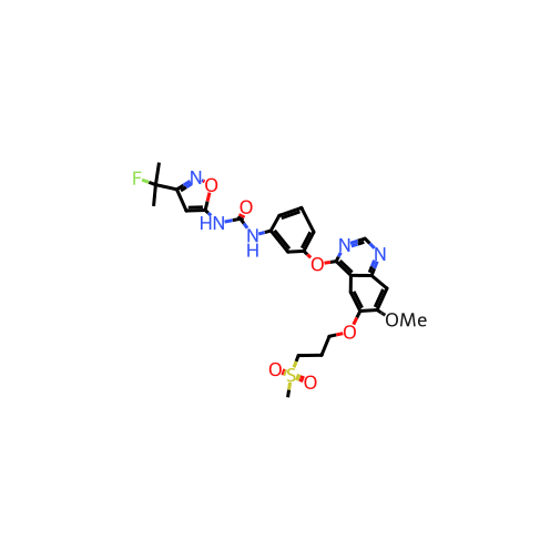 COc1cc2ncnc(Oc3cccc(NC(=O)Nc4cc(C(C)(C)F)no4)c3)c2cc1OCCCS(C)(=O)=O